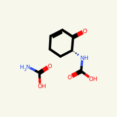 NC(=O)O.O=C(O)N[C@@H]1CCC=CC1=O